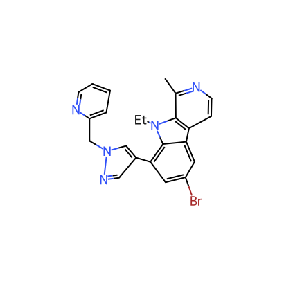 CCn1c2c(-c3cnn(Cc4ccccn4)c3)cc(Br)cc2c2ccnc(C)c21